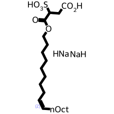 CCCCCCCC/C=C\CCCCCCCCOC(=O)C(CC(=O)O)S(=O)(=O)O.[NaH].[NaH]